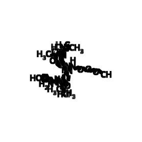 C#CCOCCOCCOCCNc1nc(N2CCN(C(=O)[C@H]([C@@H](C)CC)n3cc([C@@H](N)Cc4ccc(O)cc4)nn3)CC2)nc(N2CCN(C(=O)[C@H]([C@@H](C)CC)n3cc([C@@H](N)CC(C)C)nn3)CC2)n1.Cl